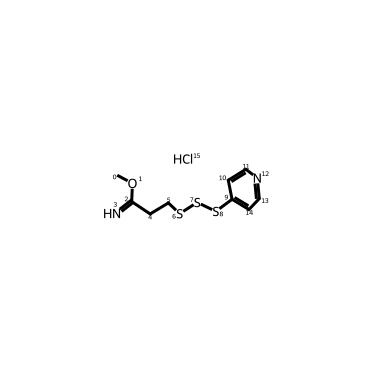 COC(=N)CCSSSc1ccncc1.Cl